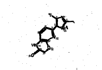 Cc1nc(F)c(-c2ccc3c(n2)OCC(=O)N3)[nH]1